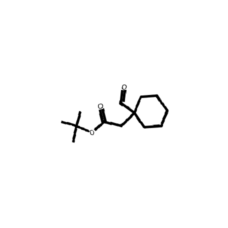 CC(C)(C)OC(=O)CC1(C=O)CCCCC1